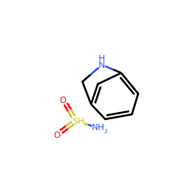 N[SH](=O)=O.c1cc2cc(c1)NC2